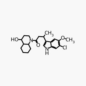 COc1cc2c(C(C)CC(=O)N3CCC(O)C4CCCCC43)c[nH]c2cc1Cl